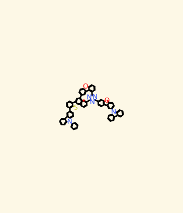 c1ccc(-c2nc(-c3ccc4c(c3)oc3ccc(-n5c6ccccc6c6ccccc65)cc34)nc(-c3cccc4oc5ccc(-c6ccc7sc8c(-c9ccc%10c(c9)c9ccccc9n%10-c9ccccc9)cccc8c7c6)cc5c34)n2)cc1